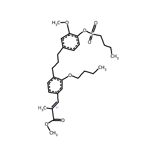 CCCCOc1cc(/C=C(\C)C(=O)OC)ccc1CCCc1ccc(OS(=O)(=O)CCCC)c(OC)c1